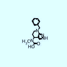 CN(C(=O)O)C1CCN(Cc2ccccc2)c2n[nH]cc21